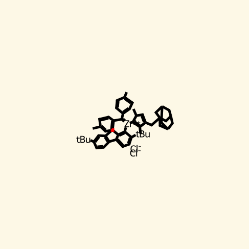 CC1=[C]([Zr+2](=[C](c2ccc(C)cc2)c2ccc(C)cc2)[c]2c(C(C)(C)C)ccc3c2Cc2cc(C(C)(C)C)ccc2-3)C(C)C=C1CC12CC3CC(CC(C3)C1)C2.[Cl-].[Cl-]